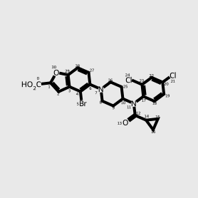 O=C(O)c1cc2c(Br)c(N3CCC(N(C(=O)C4CC4)c4ccc(Cl)cc4Cl)CC3)ccc2o1